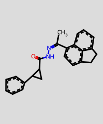 C/C(=N/NC(=O)C1CC1c1ccccc1)c1ccc2c3c(cccc13)CC2